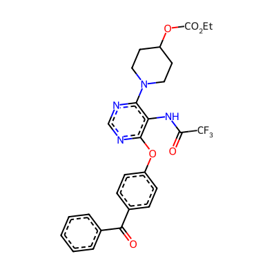 CCOC(=O)OC1CCN(c2ncnc(Oc3ccc(C(=O)c4ccccc4)cc3)c2NC(=O)C(F)(F)F)CC1